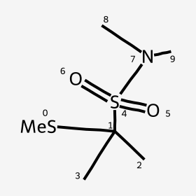 CSC(C)(C)S(=O)(=O)N(C)C